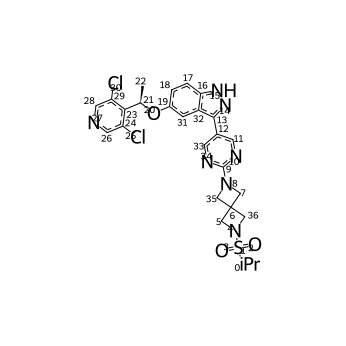 CC(C)S(=O)(=O)N1CC2(CN(c3ncc(-c4n[nH]c5ccc(O[C@H](C)c6c(Cl)cncc6Cl)cc45)cn3)C2)C1